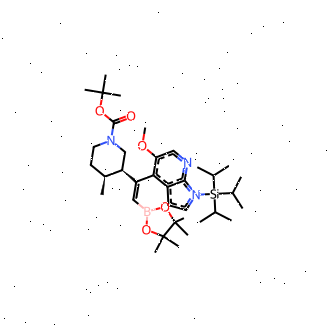 COc1cnc2c(ccn2[Si](C(C)C)(C(C)C)C(C)C)c1/C(=C\B1OC(C)(C)C(C)(C)O1)[C@@H]1CN(C(=O)OC(C)(C)C)CC[C@@H]1C